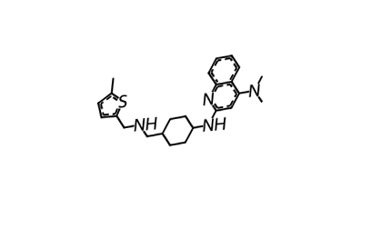 Cc1ccc(CNCC2CCC(Nc3cc(N(C)C)c4ccccc4n3)CC2)s1